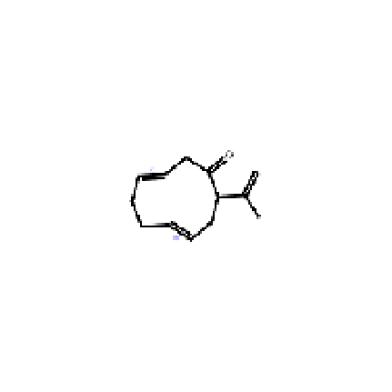 C=C(C)C1C/C=C/CC/C=C/CC1=O